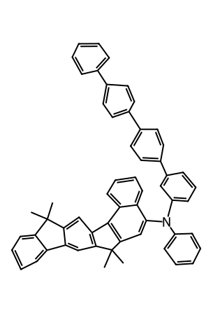 CC1(C)c2ccccc2-c2cc3c(cc21)-c1c(cc(N(c2ccccc2)c2cccc(-c4ccc(-c5ccc(-c6ccccc6)cc5)cc4)c2)c2ccccc12)C3(C)C